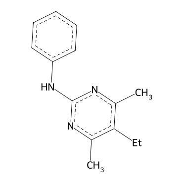 CCc1c(C)nc(Nc2ccccc2)nc1C